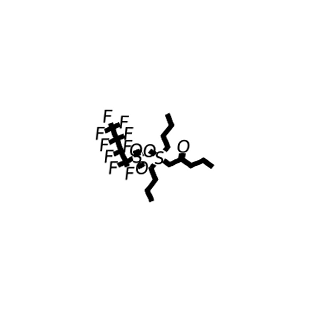 CCCCS(CCCC)(CC(=O)CCC)OS(=O)(=O)C(F)(F)C(F)(F)C(F)(F)C(F)(F)F